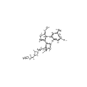 O=C=C1ON=C(c2nonc2NC2CC(CS(=O)(=O)O)C2)N1c1ccc(F)c(Br)c1